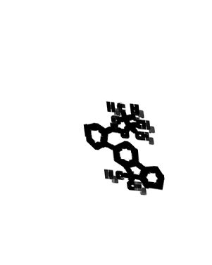 CC1(C)OB(c2ccccc2-c2ccc3c(c2)S(C)(C)c2ccccc2-3)OC1(C)C